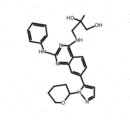 CC(O)(CO)CNc1nc(Nc2ccccc2)nc2cc(-c3ccnn3C3CCCCO3)ccc12